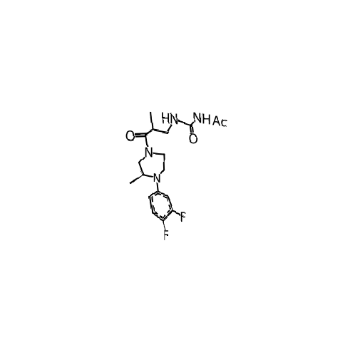 CC(=O)NC(=O)NCC(C)C(=O)N1CCN(c2ccc(F)c(F)c2)[C@@H](C)C1